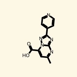 Cc1cc(C(=O)O)n2nc(-c3ccncc3)nc2n1